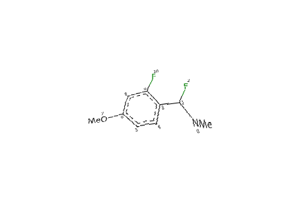 CNC(F)c1ccc(OC)cc1F